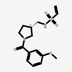 C=CS(=O)(=O)NC[C@H]1CCN(C(=O)c2cccc(OC)c2)C1